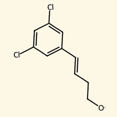 [O]CCC=Cc1cc(Cl)cc(Cl)c1